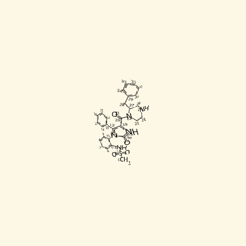 CS(=O)(=O)Nc1ccccc1-n1c(-c2ccccc2)c(C(=O)N2CCNCC2Cc2ccccc2)[nH]c1=O